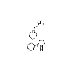 FC(F)(F)CCN1CCC(c2ccccc2[C@H]2CCCN2)CC1